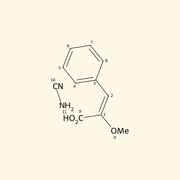 COC(=Cc1ccccc1)C(=O)O.N#CN